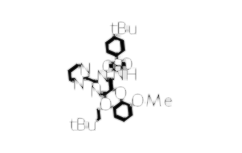 COc1ccccc1Oc1c(NS(=O)(=O)c2ccc(C(C)(C)C)cc2)nc(-c2ncccn2)nc1OCCC(C)(C)C